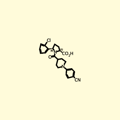 N#Cc1ccc(N2CCC(C(=O)N3[C@@H](c4ccccc4Cl)CC[C@H]3C(=O)O)CC2)cc1